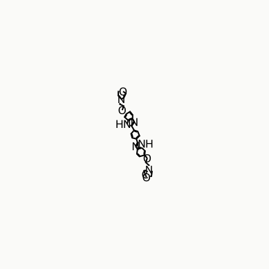 c1cc2nc(-c3ccc(-c4nc5ccc(OCCN6CCOCC6)cc5[nH]4)cc3)[nH]c2cc1OCCN1CCOCC1